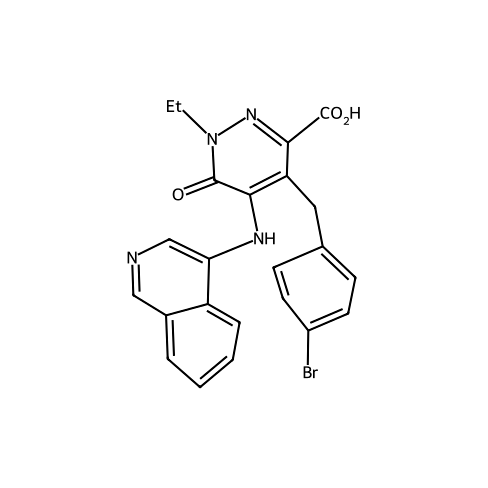 CCn1nc(C(=O)O)c(Cc2ccc(Br)cc2)c(Nc2cncc3ccccc23)c1=O